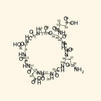 C[C@@H]1NC(=O)CNC(=O)[C@@H](CO)NC(=O)CNC(=O)[C@H](CC(=O)O)NC(=O)[C@@H](C)NC(=O)CNC(=O)[C@H](CCCN)NC(=O)CNC(=O)[C@@H](NC(=O)[C@@H](C)CC(=O)O)[C@@H](C)OC1=O